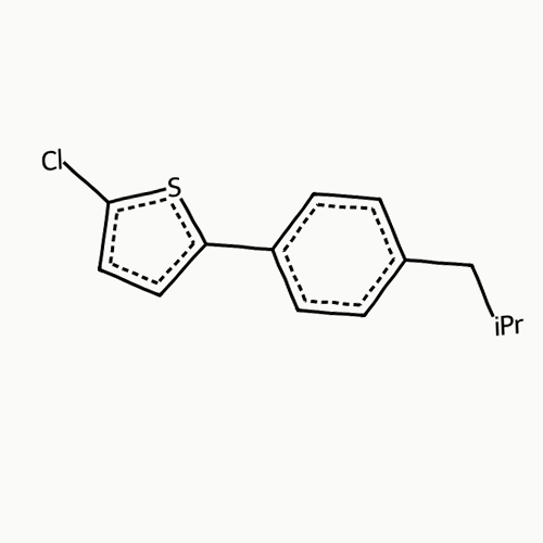 CC(C)Cc1ccc(-c2ccc(Cl)s2)cc1